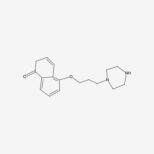 O=C1CC=Cc2c(OCCCN3CCNCC3)cccc21